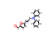 O=Cc1ccc(/C=C/CN(c2ccccc2)c2ccccc2)o1